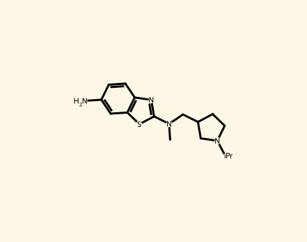 CC(C)N1CCC(CN(C)c2nc3ccc(N)cc3s2)C1